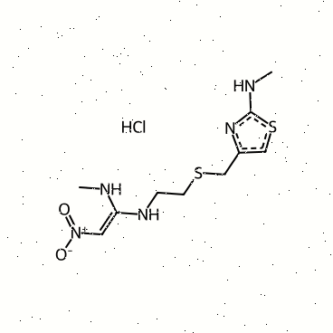 CNC(=C[N+](=O)[O-])NCCSCc1csc(NC)n1.Cl